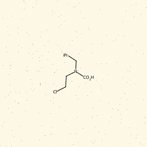 CC(C)CN(CCCl)C(=O)O